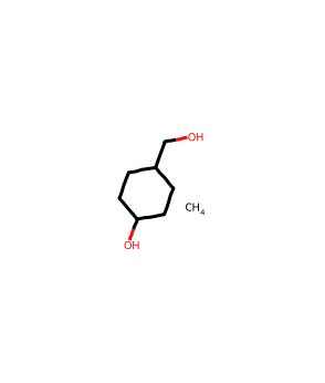 C.OCC1CCC(O)CC1